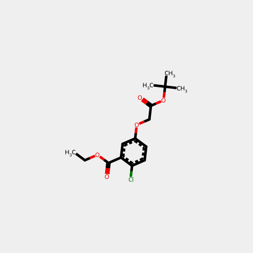 CCOC(=O)c1cc(OCC(=O)OC(C)(C)C)ccc1Cl